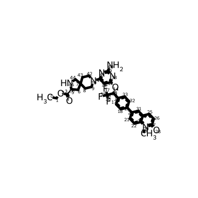 CCOC(=O)[C@@H]1CC2(CCN(c3cc(O[C@H](c4ccc(-c5ccc6c(ccc(=O)n6C)c5)cc4)C(F)(F)F)nc(N)n3)CC2)CN1